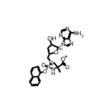 COC(=O)C(C)(C)NP(=O)(OCC1CC(O)[C@H](n2cnc3c(N)ncnc32)O1)Oc1cccc2ccccc12